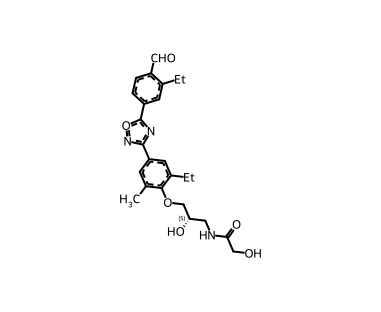 CCc1cc(-c2nc(-c3cc(C)c(OC[C@@H](O)CNC(=O)CO)c(CC)c3)no2)ccc1C=O